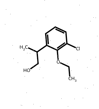 [CH2]C(CO)c1cccc(Cl)c1OCC